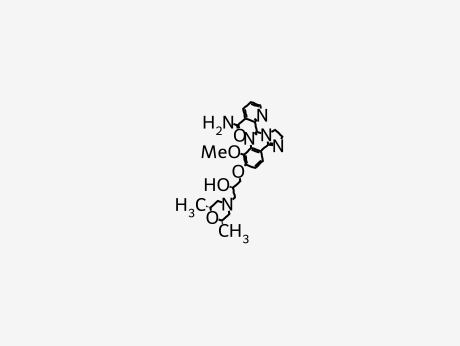 COc1c(OC[C@H](O)CN2C[C@@H](C)O[C@@H](C)C2)ccc2c1N=C(c1ncccc1C(N)=O)N1CCN=C21